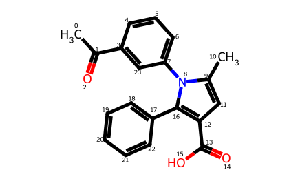 CC(=O)c1cccc(-n2c(C)cc(C(=O)O)c2-c2ccccc2)c1